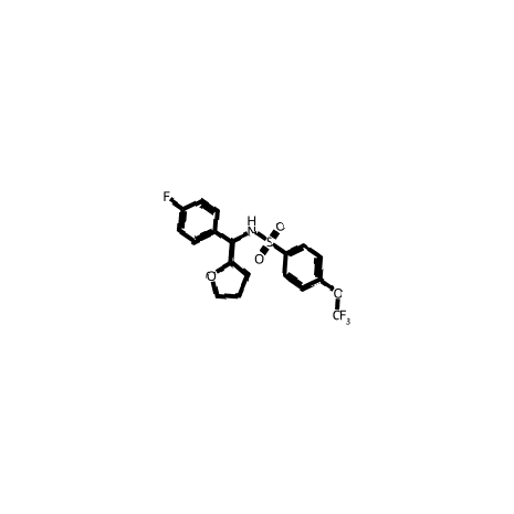 O=S(=O)(NC(c1ccc(F)cc1)C1CCCO1)c1ccc(OC(F)(F)F)cc1